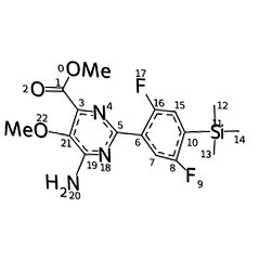 COC(=O)c1nc(-c2cc(F)c([Si](C)(C)C)cc2F)nc(N)c1OC